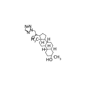 C[C@]1(O)CC[C@H]2[C@@H](CC[C@@H]3[C@@H]2CC[C@]2(C)[C@@H](C(=O)Cn4ncnn4)CC[C@@H]32)C1